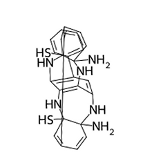 NC12C=CC3=CC1(S)Nc1c(-c4ccccc4)cc4c(c1NC1(S)C=C3C=CC1(N)N4)N2